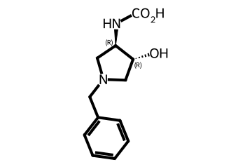 O=C(O)N[C@@H]1CN(Cc2ccccc2)C[C@H]1O